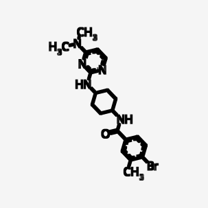 Cc1cc(C(=O)NC2CCC(Nc3nccc(N(C)C)n3)CC2)ccc1Br